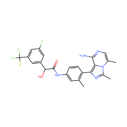 Cc1cc(NC(=O)C(O)c2cc(F)cc(C(F)(F)F)c2)ccc1-c1nc(C)n2c(C)cnc(N)c12